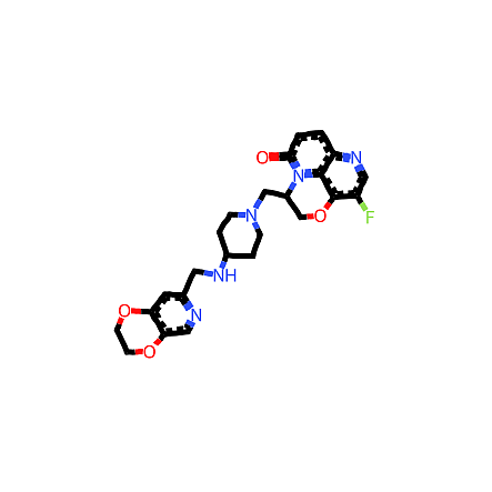 O=c1ccc2ncc(F)c3c2n1C(CN1CCC(NCc2cc4c(cn2)OCCO4)CC1)CO3